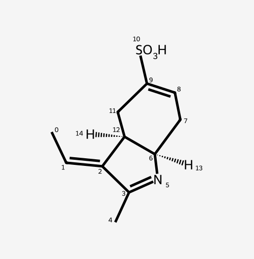 C/C=C1/C(C)=N[C@@H]2CC=C(S(=O)(=O)O)C[C@H]12